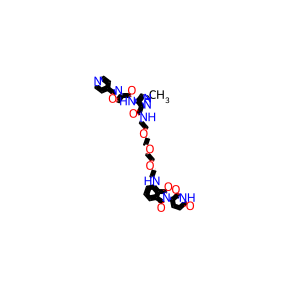 Cn1cc(NC(=O)c2coc(-c3ccncc3)n2)c(C(=O)NCCOCCOCCOCCNc2cccc3c2C(=O)N(C2CCC(=O)NC2=O)C3=O)n1